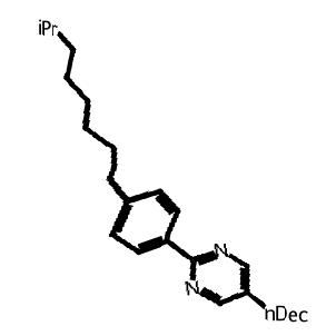 CCCCCCCCCCc1cnc(-c2ccc(CCCCCCC(C)C)cc2)nc1